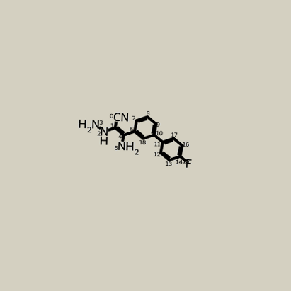 N#C/C(NN)=C(/N)c1cccc(-c2ccc(F)cc2)c1